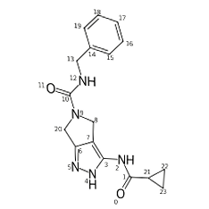 O=C(Nc1[nH]nc2c1CN(C(=O)NCc1ccccc1)C2)C1CC1